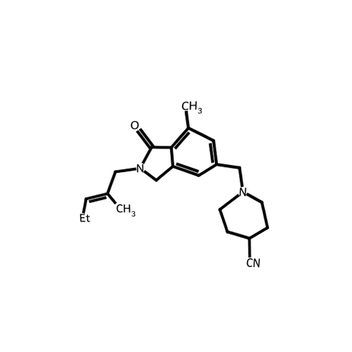 CC/C=C(\C)CN1Cc2cc(CN3CCC(C#N)CC3)cc(C)c2C1=O